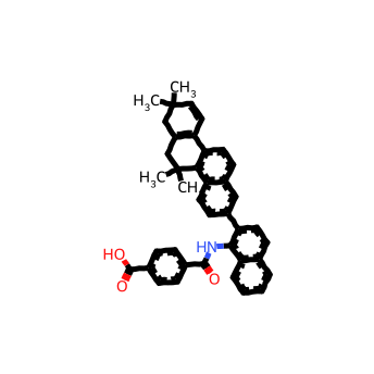 CC1(C)C=CC2=C(C1)CC(C)(C)c1c2ccc2cc(-c3ccc4ccccc4c3NC(=O)c3ccc(C(=O)O)cc3)ccc12